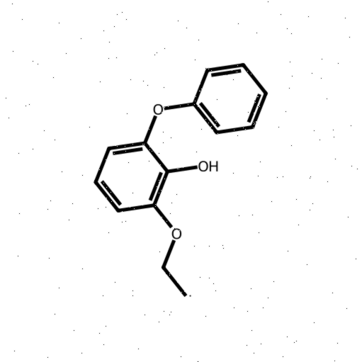 [CH2]COc1cccc(Oc2ccccc2)c1O